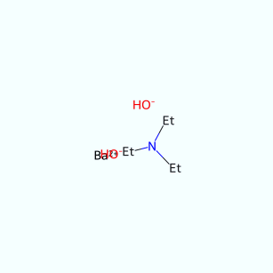 CCN(CC)CC.[Ba+2].[OH-].[OH-]